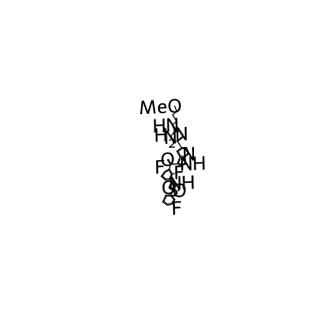 C=C(/N=C\C(=C/N)c1cnc2[nH]cc(C(=O)c3c(F)ccc(NS(=O)(=O)c4cccc(F)c4)c3F)c2c1)NCCCOC